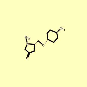 C[C@H]1CC[C@H](OC[C@@H]2CC(=O)CN2P)CC1